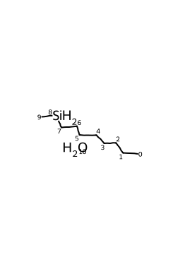 CCCCCCCC[SiH2]C.O